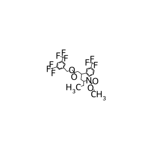 CCOC(=O)N1c2ccc(C(F)(F)F)cc2C(CC(=O)OCc2cc(C(F)(F)F)cc(C(F)(F)F)c2)CC1CC